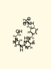 CS(=O)(=O)NCc1cccc(CNc2nc(Nc3cnn(CCO)c3)ncc2F)c1